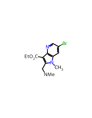 CCOC(=O)c1c(CNC)n(C)c2cc(Br)cnc12